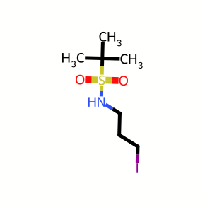 CC(C)(C)S(=O)(=O)NCCCI